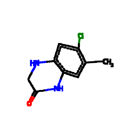 Cc1cc2c(cc1Cl)NCC(=O)N2